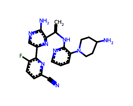 C=C(Nc1ncccc1N1CCC(N)CC1)c1nc(-c2nc(C#N)ccc2F)cnc1N